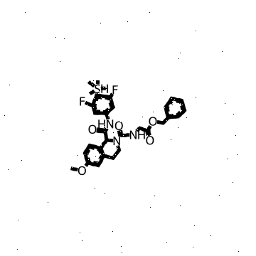 COc1ccc2c(c1)CCN(C(=O)NCC(=O)OCc1ccccc1)C2C(=O)Nc1cc(F)c([SH](C)(C)(C)C)c(F)c1